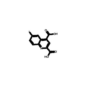 O=C(O)c1cc(C(=O)O)c2cc(I)ccc2n1